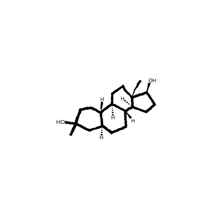 CC1(O)CC[C@H]2[C@@H](CC[C@@H]3[C@@H]2CC[C@]2(C)[C@@H](O)CC[C@@H]32)C1